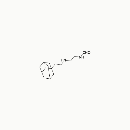 O=CNCCNCCC12CC3CC(CC(C3)C1)C2